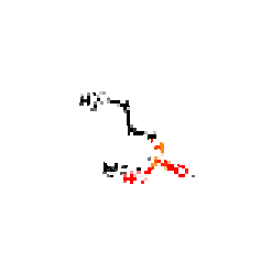 CCCC[PH](=O)O.[Mo]